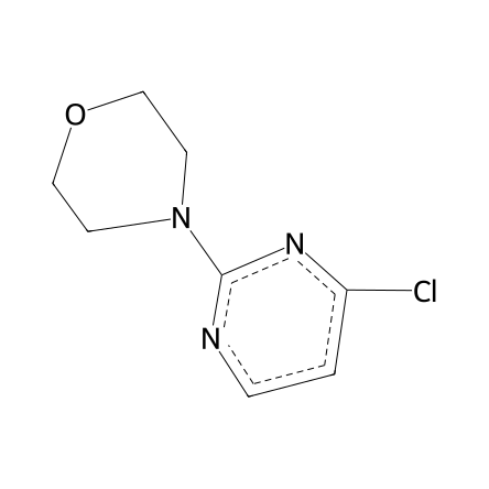 Clc1ccnc(N2CCOCC2)n1